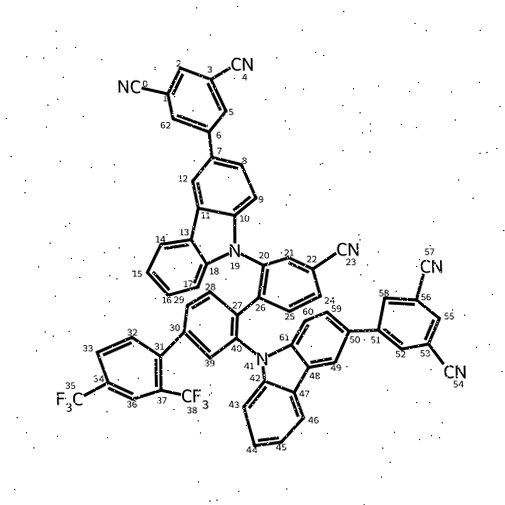 N#Cc1cc(C#N)cc(-c2ccc3c(c2)c2ccccc2n3-c2cc(C#N)ccc2-c2ccc(-c3ccc(C(F)(F)F)cc3C(F)(F)F)cc2-n2c3ccccc3c3cc(-c4cc(C#N)cc(C#N)c4)ccc32)c1